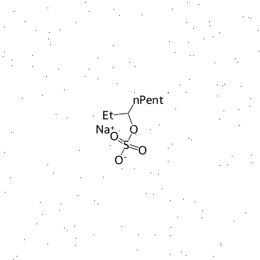 CCCCCC(CC)OS(=O)(=O)[O-].[Na+]